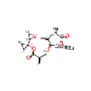 C=C(C)C(=O)OC.C=C(C)C(=O)OC1(C2CO2)CC1.C=CC(=O)OCCCC